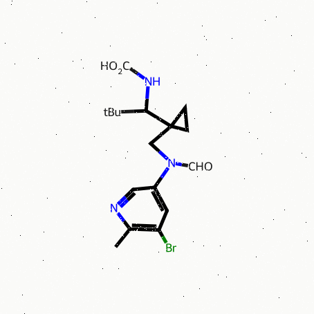 Cc1ncc(N(C=O)CC2(C(NC(=O)O)C(C)(C)C)CC2)cc1Br